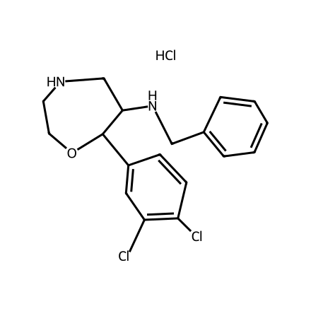 Cl.Clc1ccc(C2OCCNCC2NCc2ccccc2)cc1Cl